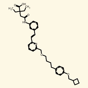 CCC(CC)(CC(=O)Nc1cccc(C=Cc2cccc(COCCCCc3ccc(OCC4CCC4)cc3)n2)c1)C(=O)O